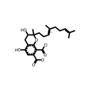 CC(C)=CCC/C(C)=C/CCC1(C)Oc2c(c(O)cc(C(=O)Cl)c2C(=O)Cl)CC1O